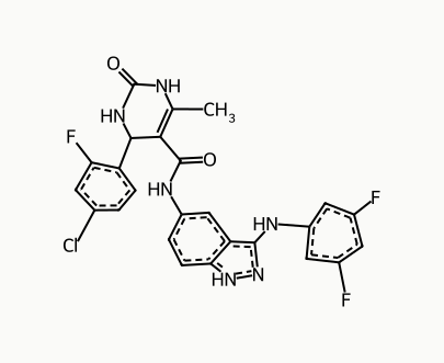 CC1=C(C(=O)Nc2ccc3[nH]nc(Nc4cc(F)cc(F)c4)c3c2)C(c2ccc(Cl)cc2F)NC(=O)N1